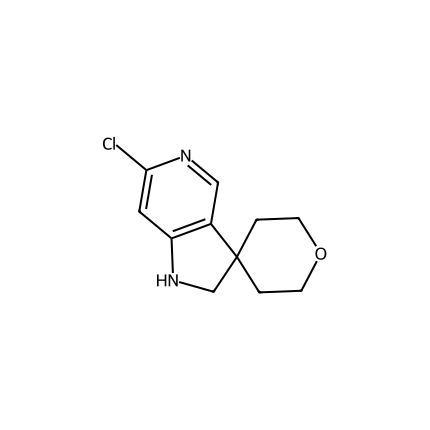 Clc1cc2c(cn1)C1(CCOCC1)CN2